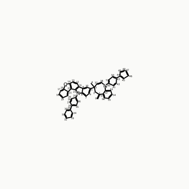 C=C1CC(C)(c2ccc3c(c2)c2ccc4oc5ccccc5c4c2n3-c2ccc(-c3ccccc3)cc2)/C=C\N(c2ccc(-c3ccccc3)cc2)c2ccccc21